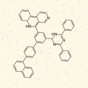 C1=CC2=c3ccncc3=C(c3cc(-c4ccc(-c5cccc6ccccc56)cc4)cc(C4N=C(c5ccccc5)N=C(c5ccccc5)N4)c3)NC2C=C1